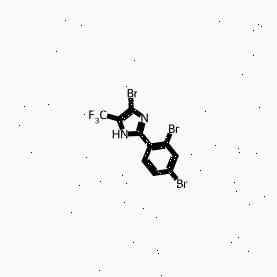 FC(F)(F)c1[nH]c(-c2ccc(Br)cc2Br)nc1Br